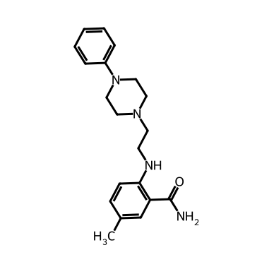 Cc1ccc(NCCN2CCN(c3ccccc3)CC2)c(C(N)=O)c1